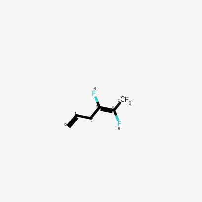 C=C[CH]C(F)=C(F)C(F)(F)F